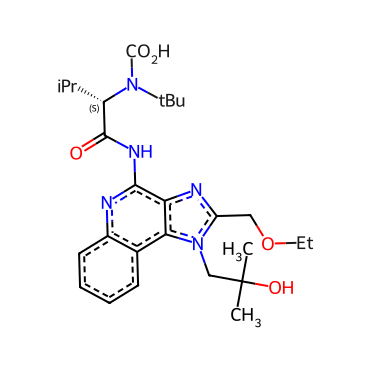 CCOCc1nc2c(NC(=O)[C@H](C(C)C)N(C(=O)O)C(C)(C)C)nc3ccccc3c2n1CC(C)(C)O